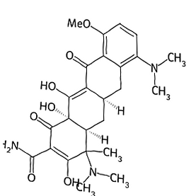 COc1ccc(N(C)C)c2c1C(=O)C1=C(O)[C@]3(O)C(=O)C(C(N)=O)=C(O)C(C)(N(C)C)[C@@H]3C[C@@H]1C2